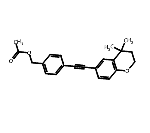 CC(=O)OCc1ccc(C#Cc2ccc3c(c2)C(C)(C)CCO3)cc1